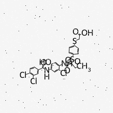 CCC(C(=O)Nc1cc(O)c(NC(=O)c2ccc(Cl)c(Cl)c2)cc1Cl)S(=O)(=O)c1ccc(SCC(=O)O)cc1